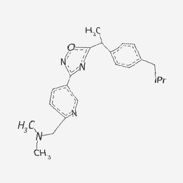 CC(C)Cc1ccc(C(C)c2nc(-c3ccc(CN(C)C)nc3)no2)cc1